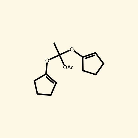 CC(=O)OC(C)(OC1=CCCC1)OC1=CCCC1